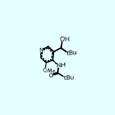 COc1cncc(C(O)C(C)(C)C)c1NC(=O)C(C)(C)C